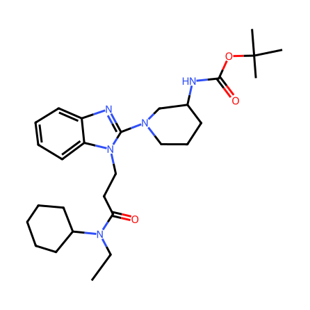 CCN(C(=O)CCn1c(N2CCCC(NC(=O)OC(C)(C)C)C2)nc2ccccc21)C1CCCCC1